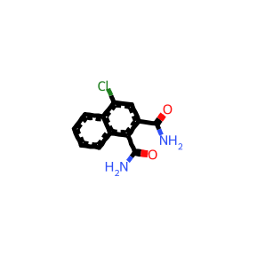 NC(=O)c1cc(Cl)c2ccccc2c1C(N)=O